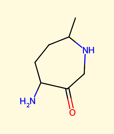 CC1CCC(N)C(=O)CN1